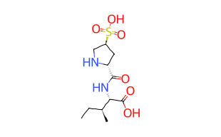 CC[C@H](C)[C@H](NC(=O)[C@H]1C[C@H](S(=O)(=O)O)CN1)C(=O)O